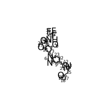 COc1cc(-n2cnc3cc(-c4cnn(CC5CCCO5)c4)ccc32)cc(OC)c1C(=O)NCC(F)(F)F